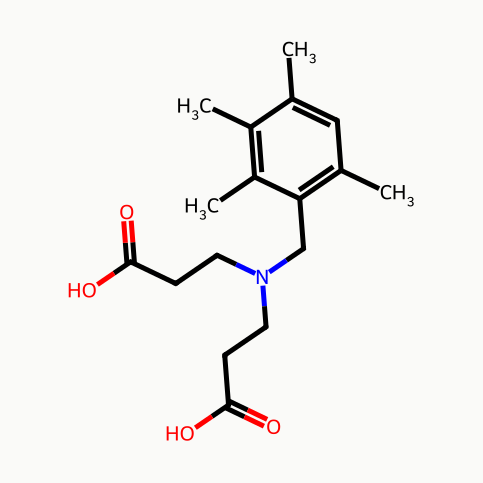 Cc1cc(C)c(CN(CCC(=O)O)CCC(=O)O)c(C)c1C